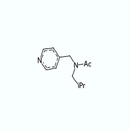 CC(=O)N(Cc1ccncc1)CC(C)C